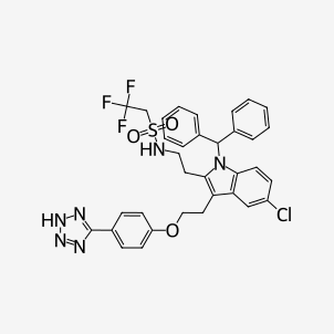 O=S(=O)(CC(F)(F)F)NCCc1c(CCOc2ccc(-c3nn[nH]n3)cc2)c2cc(Cl)ccc2n1C(c1ccccc1)c1ccccc1